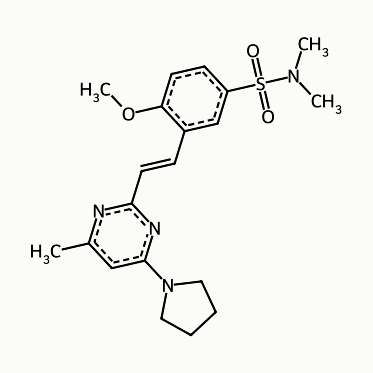 COc1ccc(S(=O)(=O)N(C)C)cc1C=Cc1nc(C)cc(N2CCCC2)n1